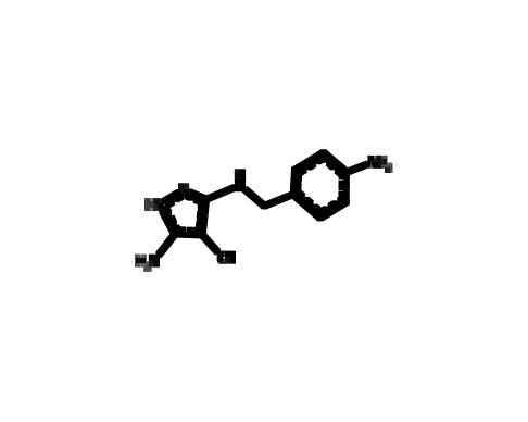 N#Cc1c(NCc2ccc(N)cc2)n[nH]c1N